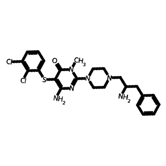 Cn1c(N2CCN(CC(N)Cc3ccccc3)CC2)nc(N)c(Sc2cccc(Cl)c2Cl)c1=O